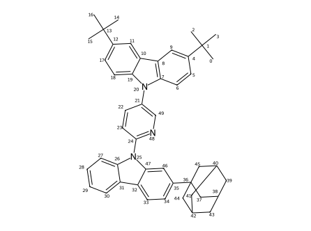 CC(C)(C)c1ccc2c(c1)c1cc(C(C)(C)C)ccc1n2-c1ccc(-n2c3ccccc3c3ccc(C45CC6CC(CC(C6)C4)C5)cc32)nc1